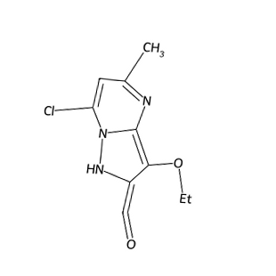 CCOC1=C2N=C(C)C=C(Cl)N2NC1=C=O